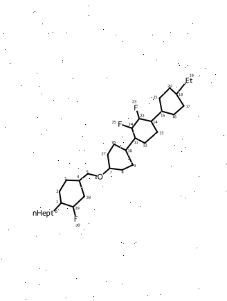 CCCCCCCC1CCC(COC2CCC(C3CCC(C4CCC(CC)CC4)C(F)C3F)CC2)CC1F